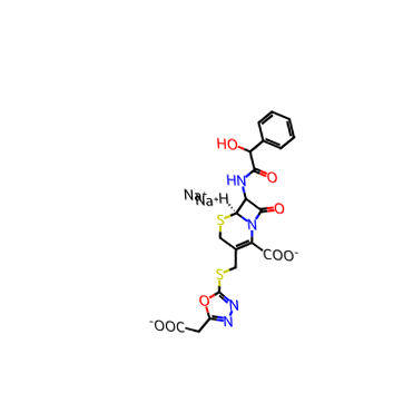 O=C([O-])Cc1nnc(SCC2=C(C(=O)[O-])N3C(=O)C(NC(=O)C(O)c4ccccc4)[C@@H]3SC2)o1.[Na+].[Na+]